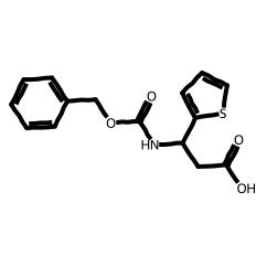 O=C(O)CC(NC(=O)OCc1ccccc1)c1cccs1